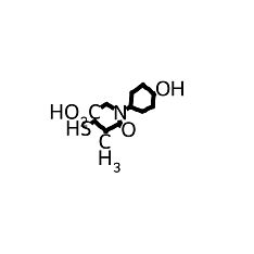 CC(CS)C(=O)N(CC(=O)O)C1CCC(O)CC1